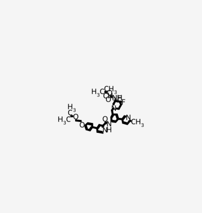 Cc1ccc(-c2cc(CN3CCC(F)(F)[C@H](NC(=O)OC(C)(C)C)C3)cc(NC(=O)c3cc(-c4ccc(OCCOC(C)C)cc4)ccn3)c2)cn1